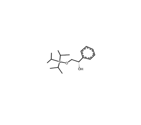 CC(C)[Si](OC[C@@H](O)c1ccccc1)(C(C)C)C(C)C